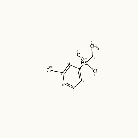 CC[SH](=O)(Cl)c1cccc(Cl)c1